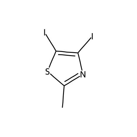 Cc1nc(I)c(I)s1